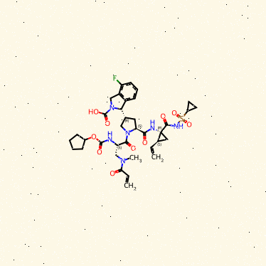 C=CC(=O)N(C)C[C@H](NC(=O)OC1CCCC1)C(=O)N1C[C@H](C2c3cccc(F)c3CN2C(=O)O)C[C@H]1C(=O)N[C@]1(C(=O)NS(=O)(=O)C2CC2)C[C@H]1C=C